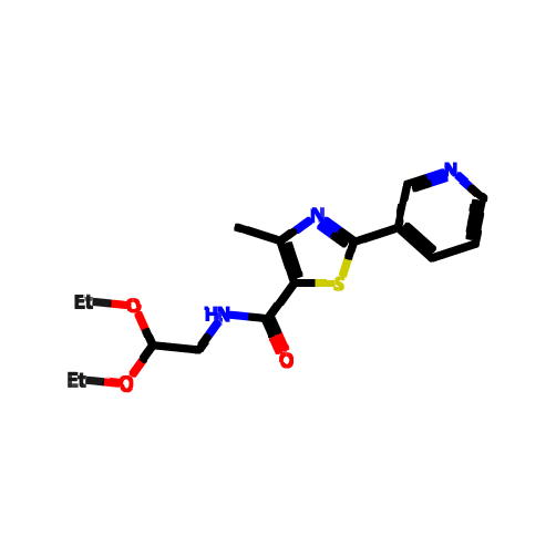 CCOC(CNC(=O)c1sc(-c2cccnc2)nc1C)OCC